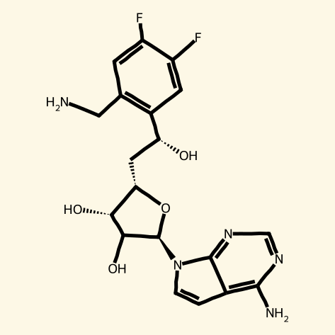 NCc1cc(F)c(F)cc1[C@H](O)C[C@@H]1O[C@@H](n2ccc3c(N)ncnc32)C(O)[C@@H]1O